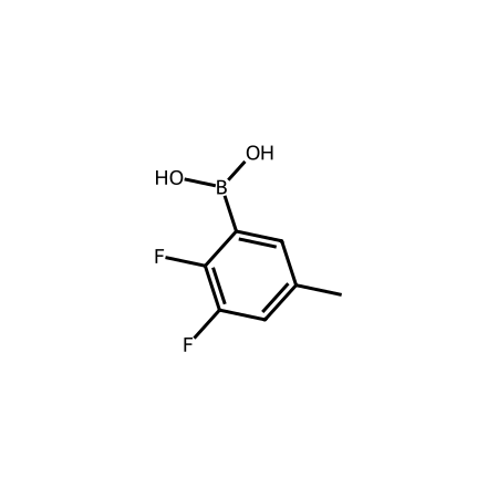 Cc1cc(F)c(F)c(B(O)O)c1